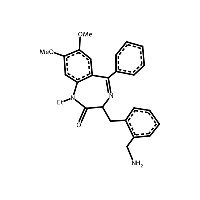 CCN1C(=O)C(Cc2ccccc2CN)N=C(c2ccccc2)c2cc(OC)c(OC)cc21